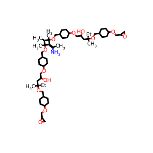 CCC(C)(CC(O)COC1CCC(COC2(C)C(=C(C)N)C(C)(OCC3CCC(OCC(O)CC(C)(CC)OCC4CCC(OCC5CO5)CC4)CC3)C2C)CC1)OCC1CCC(OCC2CO2)CC1